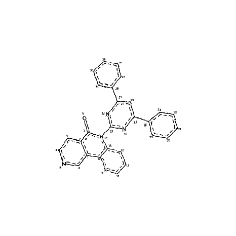 O=c1c2ccncc2c2ncccc2n1-c1nc(-c2ccccc2)cc(-c2ccccc2)n1